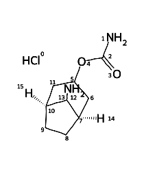 Cl.NC(=O)OC1C[C@H]2CC[C@@H](C1)C2N